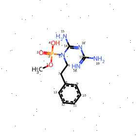 COP(=O)(O)N(CCc1ccccc1)/C(N)=N\C(=N)N